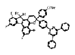 CCC1(CC)c2c(F)cc(F)cc2-c2c1c1c(c3c(F)cc(F)cc23)OC(c2ccc(OC)cc2)(c2ccc(-c3nc(-c4ccccc4)cc(-c4ccccc4)n3)cc2)C=C1